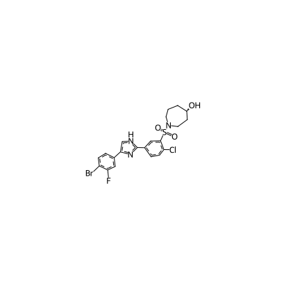 O=S(=O)(c1cc(-c2nc(-c3ccc(Br)c(F)c3)c[nH]2)ccc1Cl)N1CCC[C@@H](O)CC1